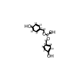 Oc1ccc(COP(O)OCc2ccc(O)cc2)cc1